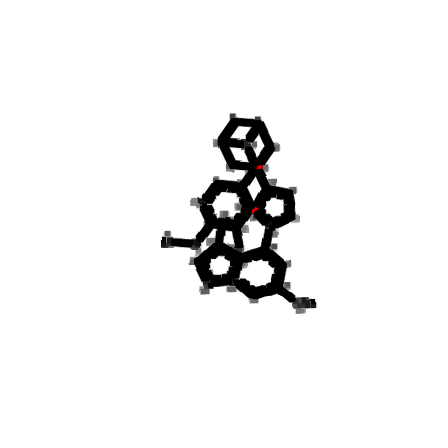 CCOc1ncc(CN2C3CC2CN(c2ccn(-c4cc(OCC(C)C)cn5ncc(C#N)c45)n2)C3)cc1F